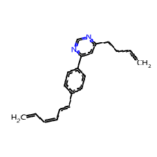 C=C/C=C\C=C\c1ccc(-c2cc(CCC=C)ncn2)cc1